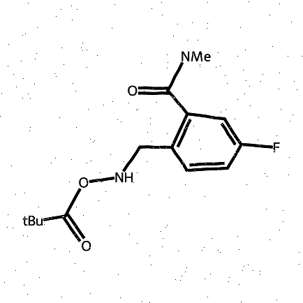 CNC(=O)c1cc(F)ccc1CNOC(=O)C(C)(C)C